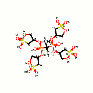 CC(C)(P(=O)(OC1COS(=O)(=O)C1)OC1COS(=O)(=O)C1)P(=O)(OC1COS(=O)(=O)C1)OC1COS(=O)(=O)C1